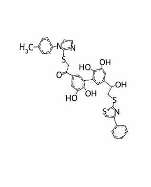 Cc1ccc(-n2ccnc2SCC(=O)c2cc(O)c(O)c(-c3cc(C(O)CSc4nc(-c5ccccc5)cs4)cc(O)c3O)c2)cc1